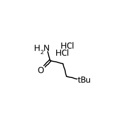 CC(C)(C)CCC(N)=O.Cl.Cl